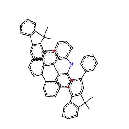 CC1(C)c2ccccc2-c2ccc(-c3ccccc3N(c3cccc(-c4cccc5c4C(C)(C)c4ccccc4-5)c3)c3ccccc3-c3cccc4cccc(-c5ccccc5)c34)cc21